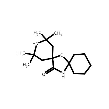 CC1(C)CC2(CC(C)(C)N1)OC1(CCCCC1)NC2=O